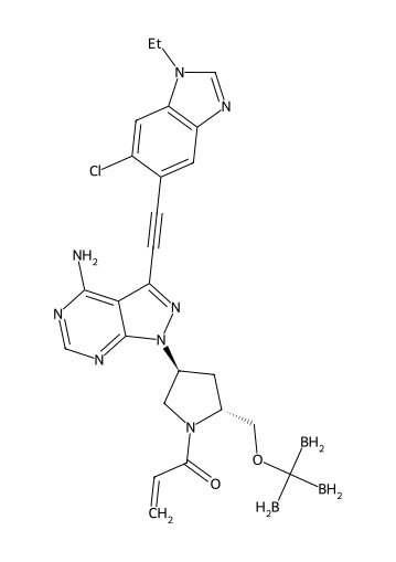 BC(B)(B)OC[C@H]1C[C@H](n2nc(C#Cc3cc4ncn(CC)c4cc3Cl)c3c(N)ncnc32)CN1C(=O)C=C